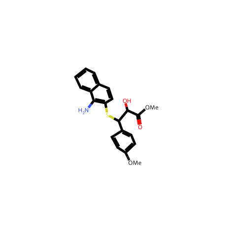 COC(=O)C(O)C(Sc1ccc2ccccc2c1N)c1ccc(OC)cc1